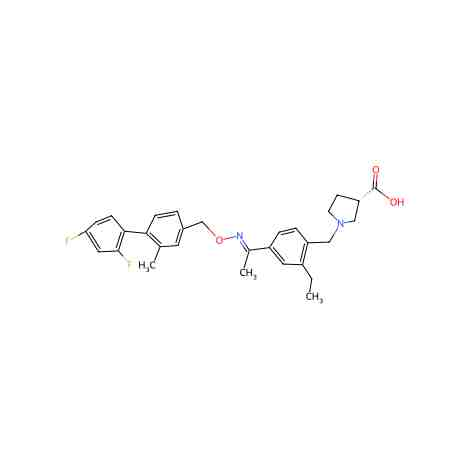 CCc1cc(/C(C)=N/OCc2ccc(-c3ccc(F)cc3F)c(C)c2)ccc1CN1CC[C@H](C(=O)O)C1